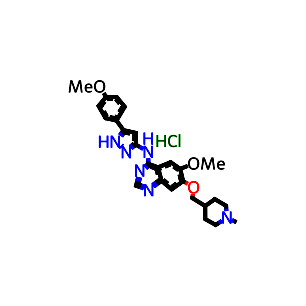 COc1ccc(-c2cc(Nc3ncnc4cc(OCC5CCN(C)CC5)c(OC)cc34)n[nH]2)cc1.Cl